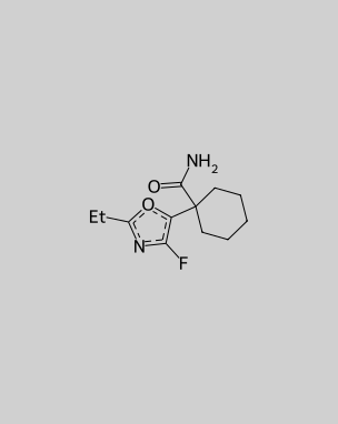 CCc1nc(F)c(C2(C(N)=O)CCCCC2)o1